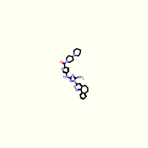 Nc1nc(Nc2ccc(C(=O)N3CCC(N4CCCCC4)CC3)nc2)nn1-c1cc2c(nn1)-c1ccccc1CCC2